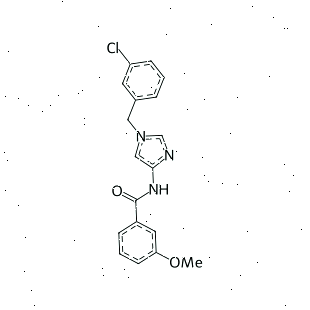 COc1cccc(C(=O)Nc2cn(Cc3cccc(Cl)c3)cn2)c1